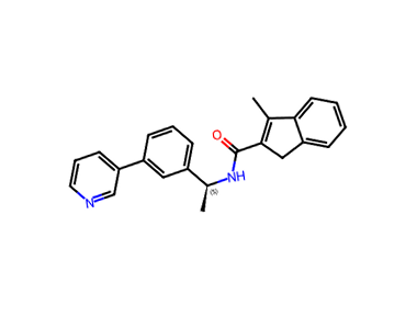 CC1=C(C(=O)N[C@@H](C)c2cccc(-c3cccnc3)c2)Cc2ccccc21